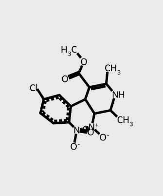 COC(=O)C1=C(C)NC(C)C([N+](=O)[O-])C1c1cc(Cl)ccc1[N+](=O)[O-]